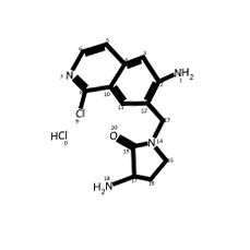 Cl.Nc1cc2ccnc(Cl)c2cc1CN1CCC(N)C1=O